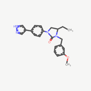 CCC1CN(c2ccc(-c3cn[nH]c3)cc2)C(=O)N1Cc1cccc(OC)c1